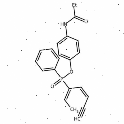 C#C/C=C\C(=C/C)P(=O)(Oc1ccc(NC(=O)CC)cc1)c1ccccc1